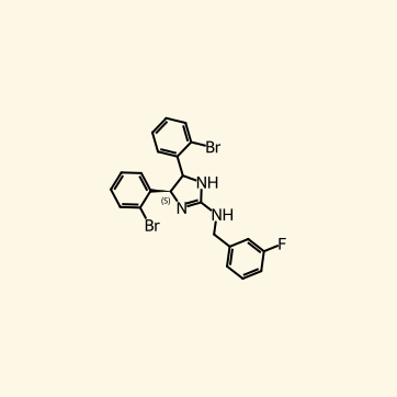 Fc1cccc(CNC2=N[C@@H](c3ccccc3Br)C(c3ccccc3Br)N2)c1